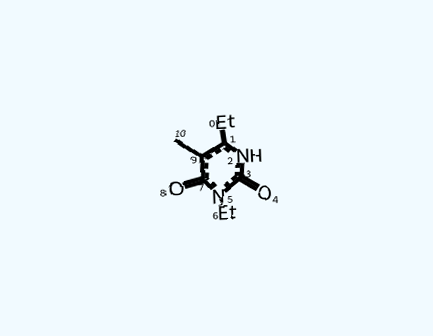 CCc1[nH]c(=O)n(CC)c(=O)c1C